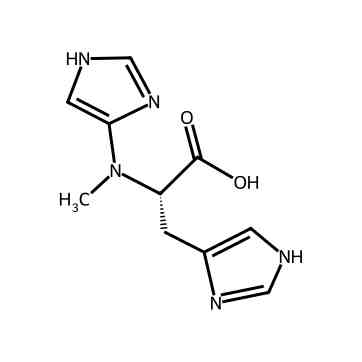 CN(c1c[nH]cn1)[C@@H](Cc1c[nH]cn1)C(=O)O